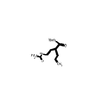 C=CCC(C=CNC(N)=O)C(=O)OC